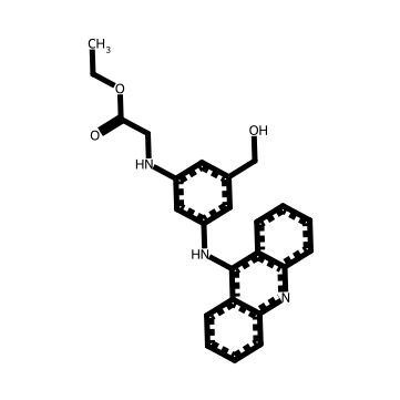 CCOC(=O)CNc1cc(CO)cc(Nc2c3ccccc3nc3ccccc23)c1